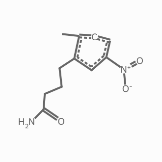 Cc1ccc([N+](=O)[O-])cc1CCCC(N)=O